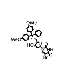 COc1ccc(C(OC[C@H]2O[C@@H](n3cc(Br)c(=O)[nH]c3=O)C[C@@H]2O)(c2ccccc2)c2ccc(OC)cc2)cc1